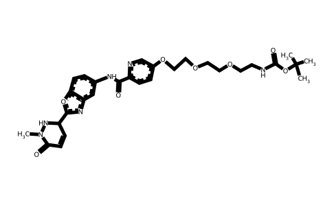 CN1NC(c2nc3cc(NC(=O)c4ccc(OCCOCCOCCNC(=O)OC(C)(C)C)cn4)ccc3o2)C=CC1=O